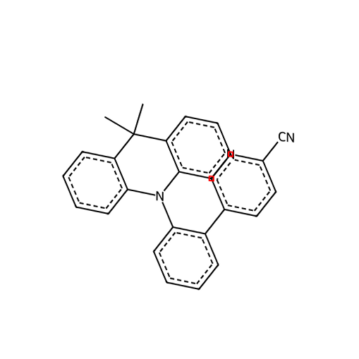 CC1(C)c2ccccc2N(c2ccccc2-c2ccc(C#N)nc2)c2ccccc21